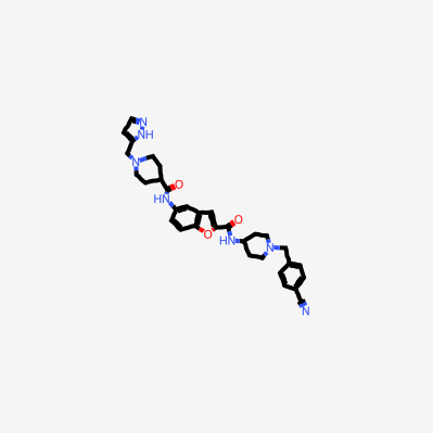 N#Cc1ccc(CN2CCC(NC(=O)c3cc4cc(NC(=O)C5CCN(Cc6ccn[nH]6)CC5)ccc4o3)CC2)cc1